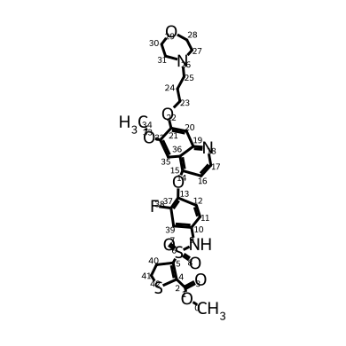 COC(=O)C1=C(S(=O)(=O)Nc2ccc(Oc3ccnc4cc(OCCCN5CCOCC5)c(OC)cc34)c(F)c2)CCS1